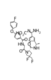 C[C@@H](NC(=O)[C@@H]1C[C@](F)(CF)CN1C(=O)CNC(=O)c1ccc(Oc2ccc(F)cc2)cc1)c1cc(/C(N)=N\C(=O)O)cs1